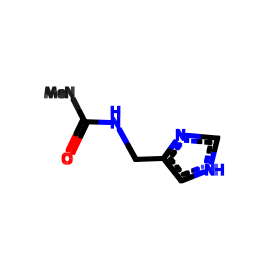 CNC(=O)NCc1c[nH]cn1